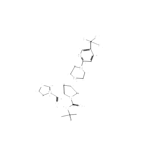 CC(C)(C)OC(=O)N1C[C@@H](N2CCN(c3ccc(C(F)(F)F)cn3)CC2)C[C@H]1C(=O)N1CCSC1